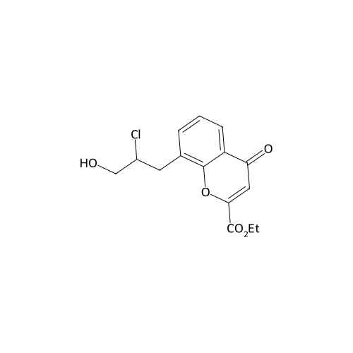 CCOC(=O)c1cc(=O)c2cccc(CC(Cl)CO)c2o1